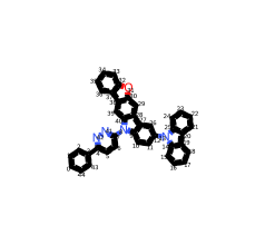 c1ccc(-c2ccc(-n3c4ccc(-n5c6ccccc6c6ccccc65)cc4c4cc5oc6ccccc6c5cc43)nn2)cc1